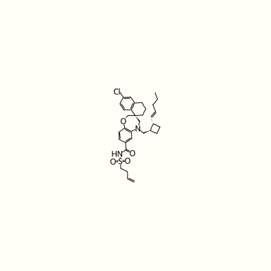 C=CCCS(=O)(=O)NC(=O)c1ccc2c(c1)N(C[C@@H]1CC[C@H]1/C=C/CCC)C[C@@]1(CCCc3cc(Cl)ccc31)CO2